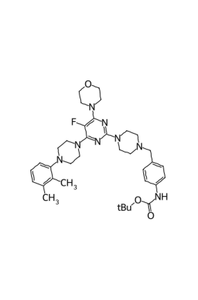 Cc1cccc(N2CCN(c3nc(N4CCN(Cc5ccc(NC(=O)OC(C)(C)C)cc5)CC4)nc(N4CCOCC4)c3F)CC2)c1C